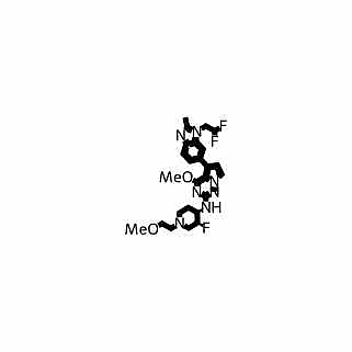 COCCN1CC[C@@H](Nc2nc(OC)c3c(-c4ccc5nc(C)n(CC(F)F)c5c4)ccn3n2)[C@@H](F)C1